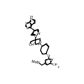 CNCc1cc(O[C@H]2CC[C@@H](N3CC(CC#N)(n4cc(-c5ncnc6[nH]ccc56)cn4)C3)CC2)nc(C(F)(F)F)c1